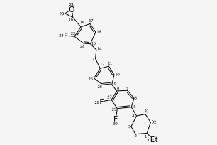 CCC1CCC(c2ccc(-c3ccc(CCc4ccc(C5CO5)c(F)c4)cc3)c(F)c2F)CC1